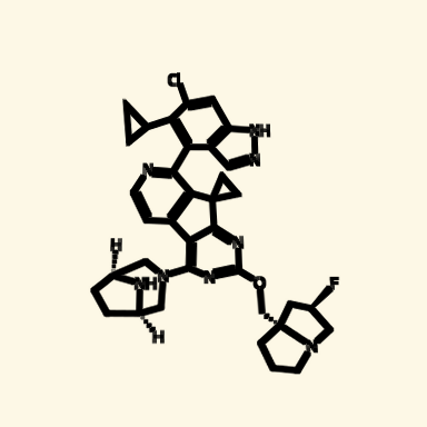 F[C@H]1CN2CCC[C@@]2(COc2nc(N3C[C@H]4CC[C@@H](C3)N4)c3c(n2)C2(CC2)c2c-3ccnc2-c2c(C3CC3)c(Cl)cc3[nH]ncc23)C1